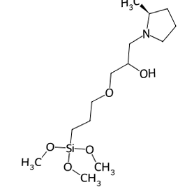 CO[Si](CCCOCC(O)CN1CCC[C@@H]1C)(OC)OC